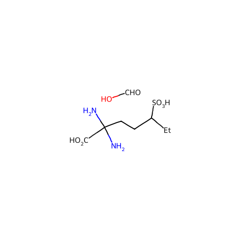 CCC(CCC(N)(N)C(=O)O)S(=O)(=O)O.O=CO